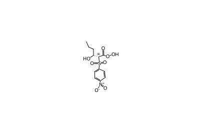 CCCC(O)[C@H](C(=O)OO)S(=O)(=O)c1ccc([N+](=O)[O-])cc1